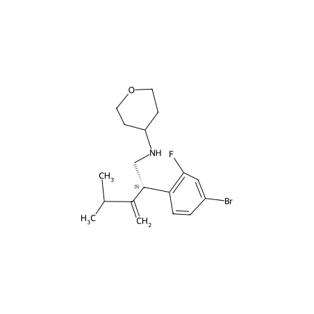 C=C(C(C)C)[C@H](CNC1CCOCC1)c1ccc(Br)cc1F